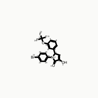 O=C1C(O)=CC(c2cccc(OC(F)(F)F)c2)N1c1ccc(Br)cc1